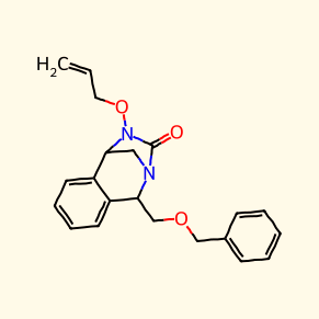 C=CCON1C(=O)N2CC1c1ccccc1C2COCc1ccccc1